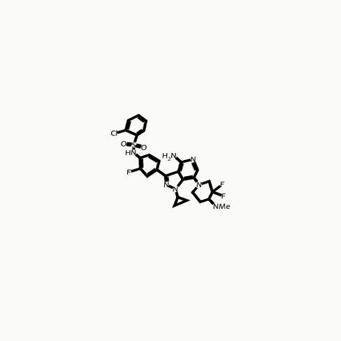 CNC1CCN(c2cnc(N)c3c(-c4ccc(NS(=O)(=O)c5ccccc5Cl)c(F)c4)nn(C4CC4)c23)CC1(F)F